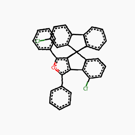 Clc1ccc2c(c1)C1(c3ccccc3-2)c2cccc(Cl)c2-c2c(-c3ccccc3)oc(-c3ccccc3)c21